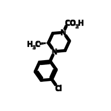 C[C@@H]1CN(C(=O)O)CCN1c1cccc(Cl)c1